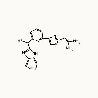 NC(N)=Nc1nc(-c2cccc(C(S)c3nc4ccccc4[nH]3)n2)cs1